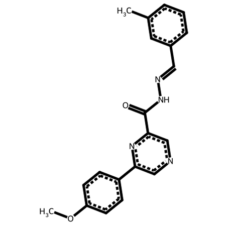 COc1ccc(-c2cncc(C(=O)NN=Cc3cccc(C)c3)n2)cc1